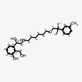 Cc1cccc(C(F)(F)COCCCCCCNC[C@H](O)c2cccc(O)c2CO)c1